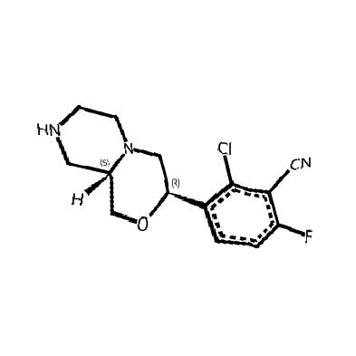 N#Cc1c(F)ccc([C@@H]2CN3CCNC[C@H]3CO2)c1Cl